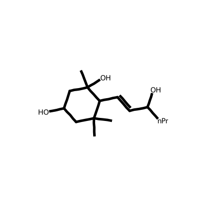 CCCC(O)C=CC1C(C)(C)CC(O)CC1(C)O